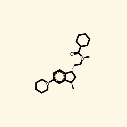 C[C@@H]1C[C@@H](CCN(C)C(=O)C2CCCCC2)c2ccc(N3CCCCC3)cc21